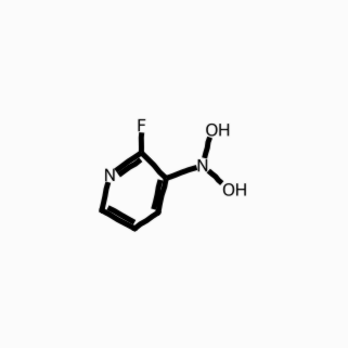 ON(O)c1cccnc1F